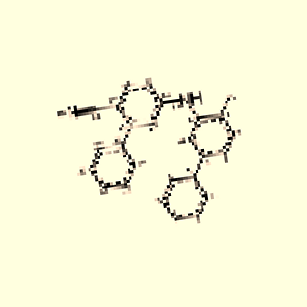 Cc1ccc(-c2ccccc2)cc1Nc1ccc(C#N)c(-c2ccccc2)c1